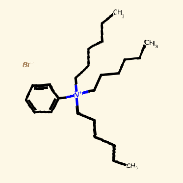 CCCCCC[N+](CCCCCC)(CCCCCC)c1ccccc1.[Br-]